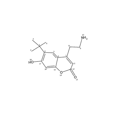 CC(C)(C)c1cc2c(CCN)cc(=O)oc2cc1O